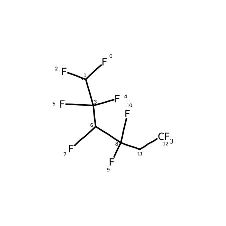 F[C](F)C(F)(F)C(F)C(F)(F)CC(F)(F)F